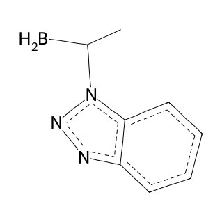 BC(C)n1nnc2ccccc21